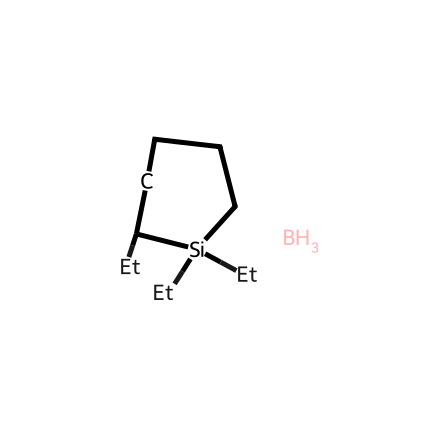 B.CCC1CCCC[Si]1(CC)CC